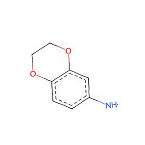 [NH]c1ccc2c(c1)OCCO2